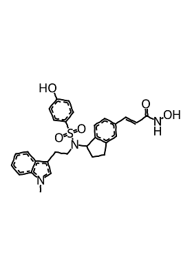 Cn1cc(CCN(C2CCc3cc(C=CC(=O)NO)ccc32)S(=O)(=O)c2ccc(O)cc2)c2ccccc21